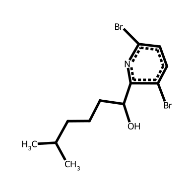 CC(C)CCCC(O)c1nc(Br)ccc1Br